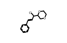 ClC(/C=C/c1ccccc1)C1COCCO1